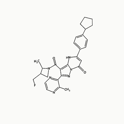 Cc1nccnc1-c1nn2c(=O)cc(-c3ccc(C4CCCC4)cc3)[nH]c2c1C(=O)N1CC(CF)C1C